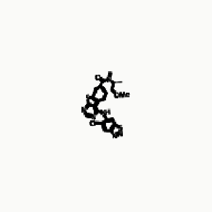 COC[C@@H](C)N(C)C(=O)[C@H]1CCc2c(sc3ncnc(Nc4cc5snnc5cc4Cl)c23)C1